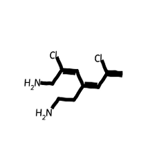 C=C(Cl)/C=C(\C=C(\Cl)CN)CCN